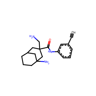 C#Cc1cccc(NC(=O)C2(CN)CC3CCCC(N)(C3)C2)c1